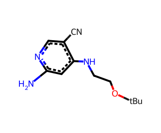 CC(C)(C)OCCNc1cc(N)ncc1C#N